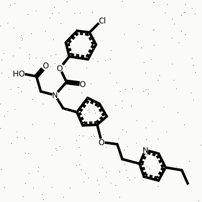 CCc1ccc(CCOc2cccc(CN(CC(=O)O)C(=O)Oc3ccc(Cl)cc3)c2)nc1